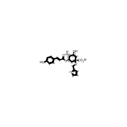 O=C(/C=C/c1ccc(O)cc1)O[C@@H]1C[C@](OCc2cccs2)(C(=O)O)C[C@H](O)[C@H]1O